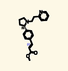 COC(=O)/C=C/c1ccc([C@@H]2CCCN2CCc2ccccn2)cc1